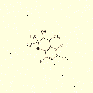 CC1c2c(Cl)c(Br)cc(F)c2NC(C)(C)C1O